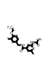 Cc1cc(C(=O)NCc2ccc(OCC(F)(F)F)c(C)c2)cc(NC(=O)C(C)C)n1